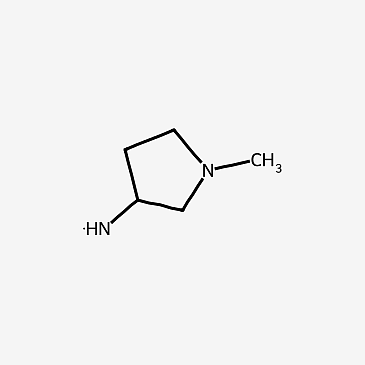 CN1CCC([NH])C1